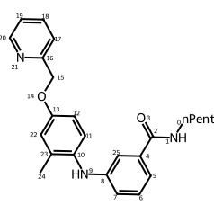 CCCCCNC(=O)c1cccc(Nc2ccc(OCc3ccccn3)cc2C)c1